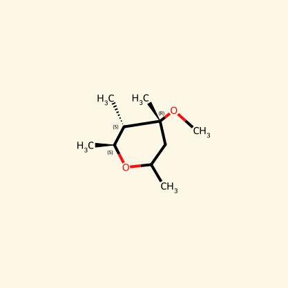 CO[C@]1(C)CC(C)O[C@@H](C)[C@@H]1C